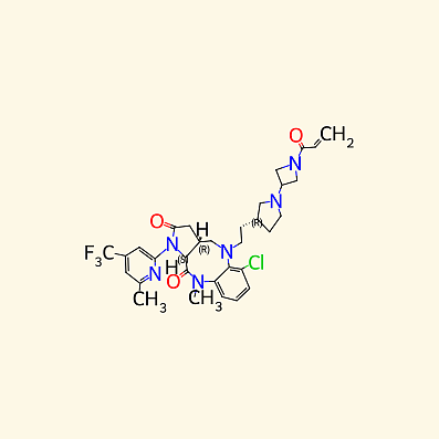 C=CC(=O)N1CC(N2CC[C@H](CCN3C[C@H]4CC(=O)N(c5cc(C(F)(F)F)cc(C)n5)[C@@H]4C(=O)N(C)c4cccc(Cl)c43)C2)C1